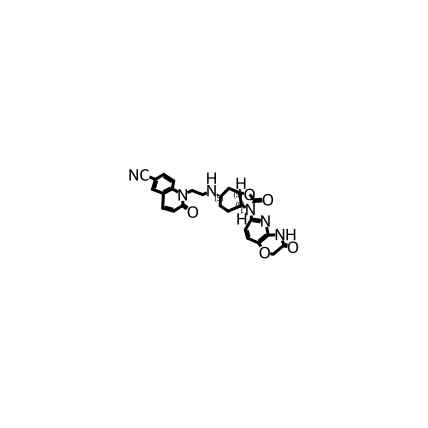 N#Cc1ccc2c(ccc(=O)n2CCN[C@H]2CC[C@H]3[C@H](C2)OC(=O)N3c2ccc3c(n2)NC(=O)CO3)c1